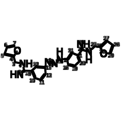 N=C(NCc1ccco1)c1cccc(/N=N/Nc2cccc(C(=N)NCc3ccco3)c2)c1